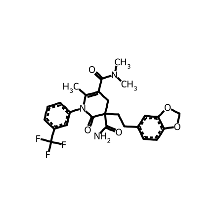 CC1=C(C(=O)N(C)C)CC(CCc2ccc3c(c2)OCO3)(C(N)=O)C(=O)N1c1cccc(C(F)(F)F)c1